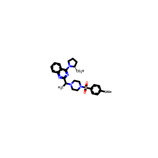 COc1ccc(S(=O)(=O)N2CCN(C(C)c3nc(N4CCC[C@@H]4C(=O)O)c4ccccc4n3)CC2)cc1